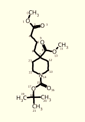 COC(=O)CCCC1(C(=O)OC)CCN(C(=O)OC(C)(C)C)CC1